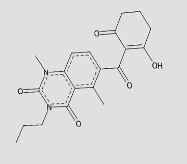 CCCn1c(=O)c2c(C)c(C(=O)C3=C(O)CCCC3=O)ccc2n(C)c1=O